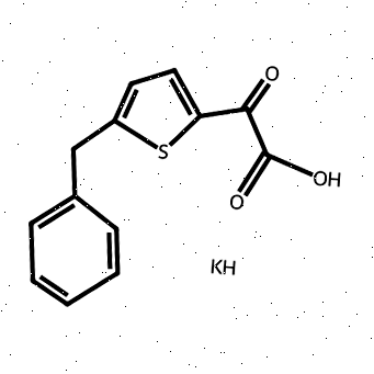 O=C(O)C(=O)c1ccc(Cc2ccccc2)s1.[KH]